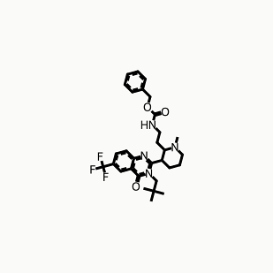 CN1CCCC(c2nc3ccc(C(F)(F)F)cc3c(=O)n2CC(C)(C)C)C1CCNC(=O)OCc1ccccc1